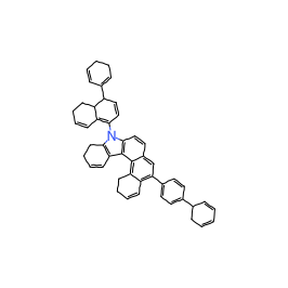 C1=CCC(c2ccc(-c3cc4ccc5c(c6c(n5C5=C7C=CCCC7C(C7=CCCC=C7)C=C5)CCC=C6)c4c4c3C=CCC4)cc2)C=C1